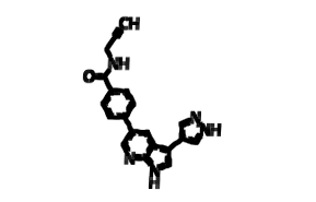 C#CCNC(=O)c1ccc(-c2cnc3[nH]cc(-c4cn[nH]c4)c3c2)cc1